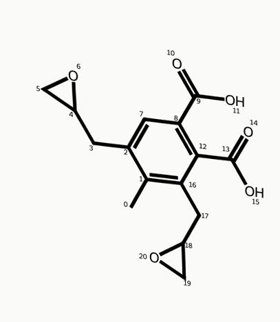 Cc1c(CC2CO2)cc(C(=O)O)c(C(=O)O)c1CC1CO1